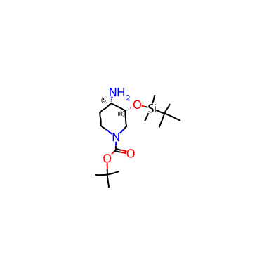 CC(C)(C)OC(=O)N1CC[C@H](N)[C@H](O[Si](C)(C)C(C)(C)C)C1